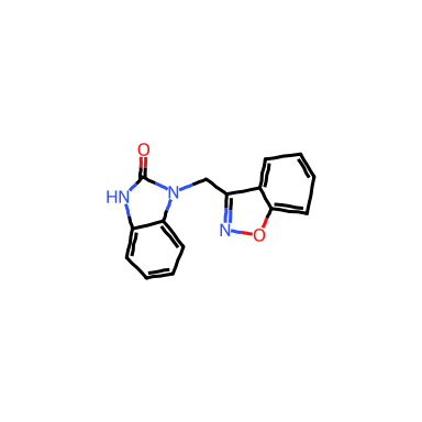 O=c1[nH]c2ccccc2n1Cc1noc2ccccc12